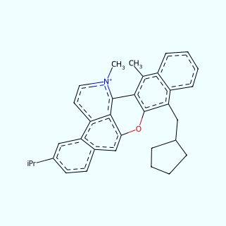 Cc1c2c(c(CC3CCCC3)c3ccccc13)Oc1cc3ccc(C(C)C)cc3c3cc[n+](C)c-2c13